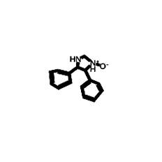 [O-][NH+]1CNC(c2ccccc2)C1c1ccccc1